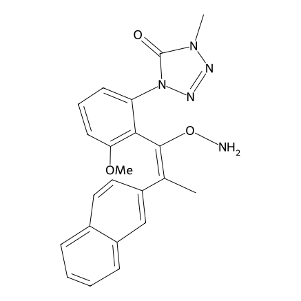 COc1cccc(-n2nnn(C)c2=O)c1/C(ON)=C(/C)c1ccc2ccccc2c1